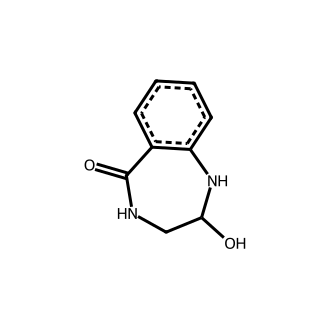 O=C1NCC(O)Nc2ccccc21